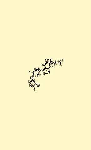 Cc1cc(Nc2ncnc3cc(OCCN(C)C)c([N+](=O)[O-])cc23)ccc1Oc1cnn(C)c(=O)c1